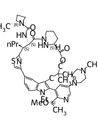 CCC[C@@H]1c2nc(cs2)-c2ccc3c(c2)c(c(-c2cc(N4CCN(C)CC4)cnc2[C@H](C)OC)n3CC)CC(C)(C)COC(=O)[C@@H]2CCCN(N2)C(=O)[C@H]1NC(=O)N1CC[C@H]1C